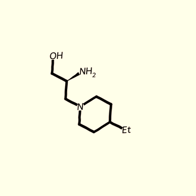 CCC1CCN(C[C@H](N)CO)CC1